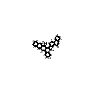 [2H]c1c(-c2coc3c2ccc2c4ccccc4ccc23)c(-c2ccccc2)cc2cc3ccccc3cc12